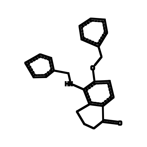 O=C1CCCc2c1ccc(OCc1ccccc1)c2NCc1ccccc1